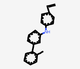 C=Cc1ccc(Nc2cccc(-c3ccccc3C)c2)cc1